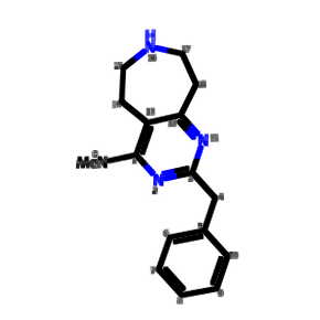 CNc1nc(Cc2ccccc2)nc2c1CCNCC2